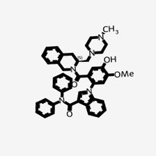 COc1cc(-n2cc(C(=O)N(c3ccccc3)c3ccccc3)c3ccccc32)c(C(=O)N2Cc3ccccc3C[C@H]2CN2CCN(C)CC2)cc1O